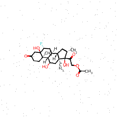 CC(=O)OCC(=O)[C@@]1(O)[C@@H](C)C[C@H]2[C@@H]3C[C@@H](F)[C@@]4(O)CC(=O)CC[C@]4(C)[C@H]3[C@H](O)C[C@@]21C